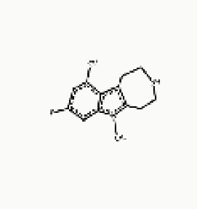 Cn1c2c(c3c(O)cc(F)cc31)CCNCC2